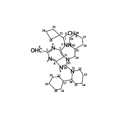 CC(Nc1nc(C=O)nc2nc(N3CCCCC3C3CCCCC3)n(CC3CCCCC3)c12)C1CCC1